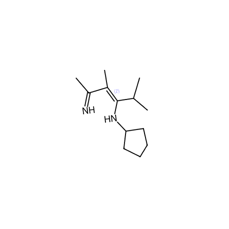 CC(=N)/C(C)=C(\NC1CCCC1)C(C)C